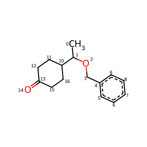 CC(OCc1ccccc1)C1CCC(=O)CC1